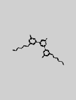 CCCCCCc1cc(C)cc(-c2cc(I)cc(-c3cc(C)cc(CCCCCC)c3)c2)c1